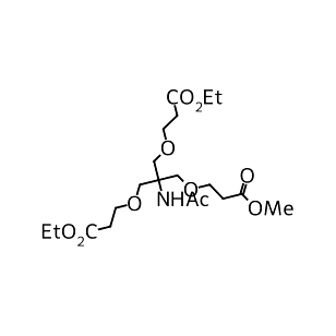 CCOC(=O)CCOCC(COCCC(=O)OC)(COCCC(=O)OCC)NC(C)=O